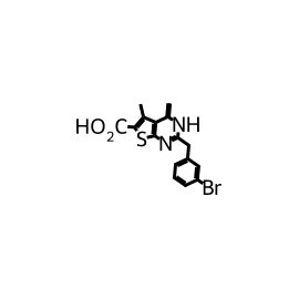 C=C1NC(Cc2cccc(Br)c2)=Nc2sc(C(=O)O)c(C)c21